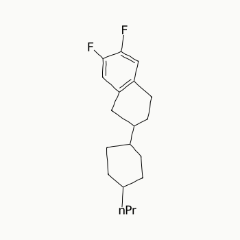 CCCC1CCC(C2CCc3cc(F)c(F)cc3C2)CC1